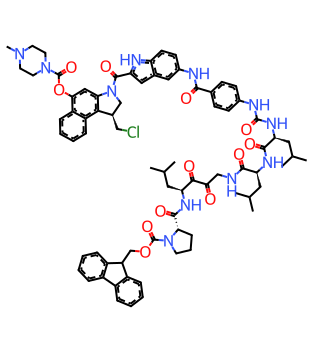 CC(C)C[C@H](NC(=O)Nc1ccc(C(=O)Nc2ccc3[nH]c(C(=O)N4C[C@@H](CCl)c5c4cc(OC(=O)N4CCN(C)CC4)c4ccccc54)cc3c2)cc1)C(=O)N[C@@H](CC(C)C)C(=O)NCC(=O)C(=O)[C@H](CC(C)C)NC(=O)[C@@H]1CCCN1C(=O)OCC1c2ccccc2-c2ccccc21